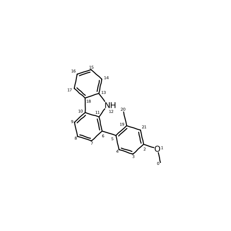 COc1ccc(-c2cccc3c2[nH]c2ccccc23)c(C)c1